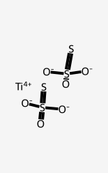 O=S([O-])([O-])=S.O=S([O-])([O-])=S.[Ti+4]